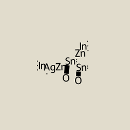 [Ag].[In].[In].[O]=[Sn].[O]=[Sn].[Zn].[Zn]